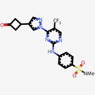 CNS(=O)(=O)c1ccc(Nc2ncc(C(F)(F)F)c(-n3cc(C4CC(=O)C4)cn3)n2)cc1